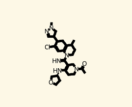 CC(=O)N1CCC(N[C@H]2CCOC2)=C(C(=N)N2CCC(C)C3=C2C=C(Cl)C(C2C=NN(C)C2)C3)C1